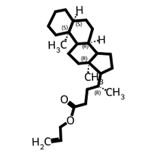 C=CCOC(=O)CC[C@@H](C)C1CCC2[C@@H]3CC[C@@H]4CCCC[C@]4(C)C3CC[C@@]21C